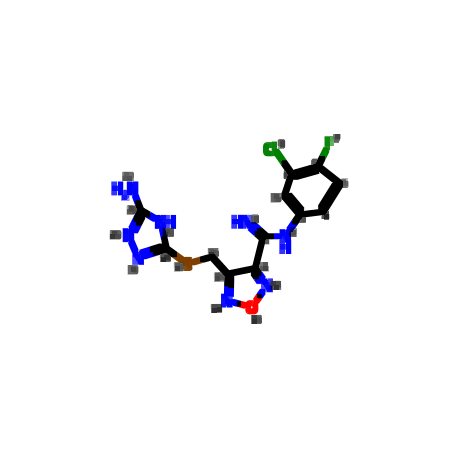 N=C(Nc1ccc(F)c(Cl)c1)c1nonc1CSc1nnc(N)[nH]1